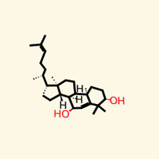 CC(C)=CCC[C@@H](C)[C@H]1CC[C@H]2[C@@H]3[C@H](O)C=C4C(C)(C)[C@@H](O)CC[C@]4(C)[C@H]3CC[C@]12C